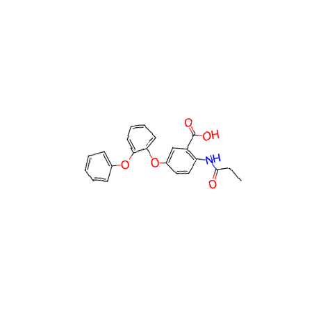 CCC(=O)Nc1ccc(Oc2ccccc2Oc2ccccc2)cc1C(=O)O